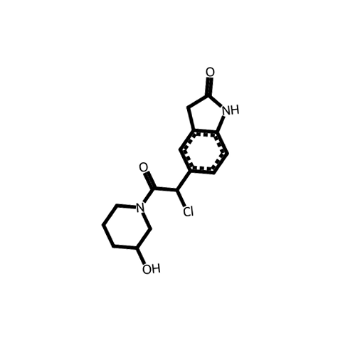 O=C1Cc2cc(C(Cl)C(=O)N3CCCC(O)C3)ccc2N1